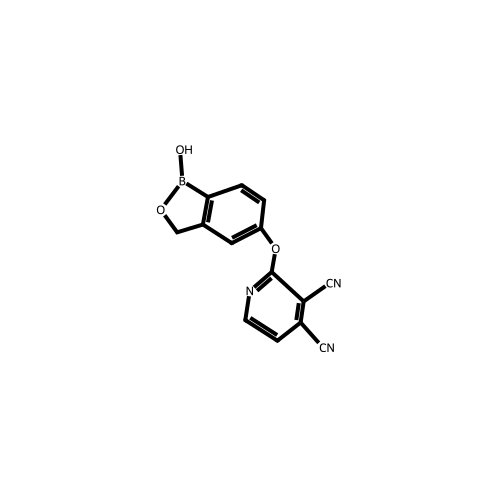 N#Cc1ccnc(Oc2ccc3c(c2)COB3O)c1C#N